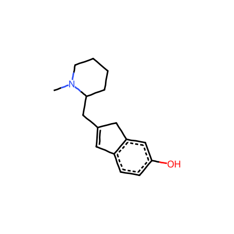 CN1CCCCC1CC1=Cc2ccc(O)cc2C1